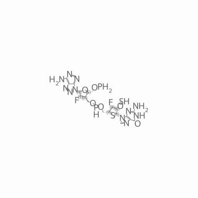 Nc1nc2c(ncn2[C@@H]2S[C@H](COPOC[C@H]3[C@H](F)[C@H](n4nnc5c(N)ncnc54)O[C@@H]3COP)[C@H](F)[C@H]2OS)c(=O)[nH]1